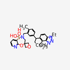 CCn1nnc2c(C)c(C(CC(=O)O)c3ccc(C)c(CN4CC5(COC5)Oc5ncccc5S4(O)O)c3)ccc21